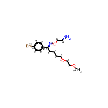 COCCOCCCCC(=NOCCN)c1ccc(Br)cc1